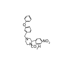 O=C(O)N1CCN(Cc2cccc(Oc3ccccc3)c2)CC1c1ccc([N+](=O)[O-])cc1